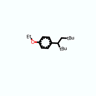 CCOc1ccc(C(CC(C)(C)C)C(C)(C)C)cc1